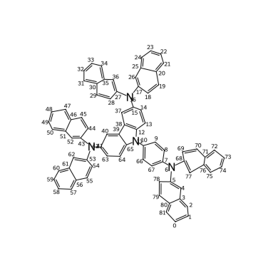 c1ccc2cc(N(c3ccc(-n4c5ccc(N(c6ccc7ccccc7c6)c6ccc7ccccc7c6)cc5c5cc(N(c6ccc7ccccc7c6)c6ccc7ccccc7c6)ccc54)cc3)c3ccc4ccccc4c3)ccc2c1